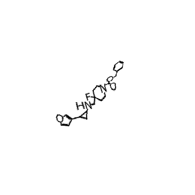 O=C(OCc1ccccc1)N1CCC(F)(CNC2CC2c2ccoc2)CC1